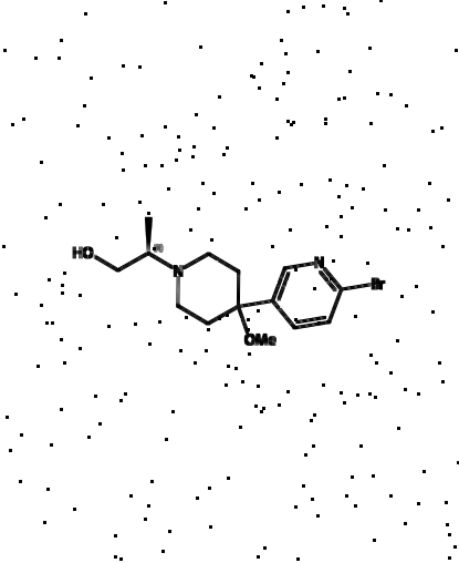 COC1(c2ccc(Br)nc2)CCN([C@H](C)CO)CC1